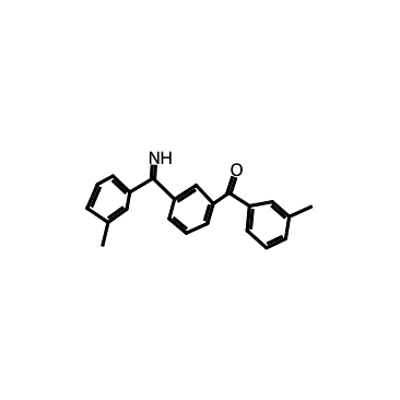 Cc1cccc(C(=N)c2cccc(C(=O)c3cccc(C)c3)c2)c1